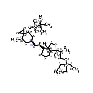 CC[Si](CC)(CC)OC[C@H](C)[C@H]1CC[C@H]2/C(=C/C=C3/C[C@@H](C)C4(CC4)[C@H](O[Si](C)(C)C(C)(C)C)C3)CCC[C@]12C